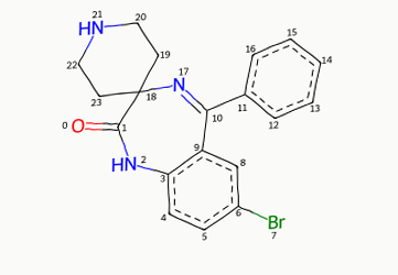 O=C1Nc2ccc(Br)cc2C(c2ccccc2)=NC12CCNCC2